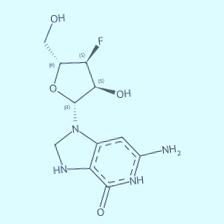 Nc1cc2c(c(=O)[nH]1)NCN2[C@@H]1O[C@H](CO)[C@@H](F)[C@H]1O